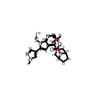 Cn1cc(-c2cc3c(N4CC5CCC(C4)N5C(=O)OC(C)(C)C)ncnc3n2SI)cn1